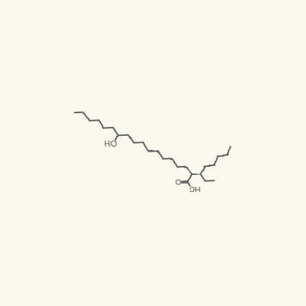 CCCCCCC(O)CCCCCCCCCC(C(=O)O)C(CC)CCCCC